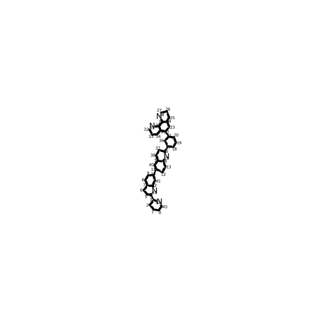 c1ccc(-c2ccc3ccc(-c4ccc5nc(-c6cccc(-c7cc8cccnc8c8ncccc78)c6)ccc5c4)cc3n2)nc1